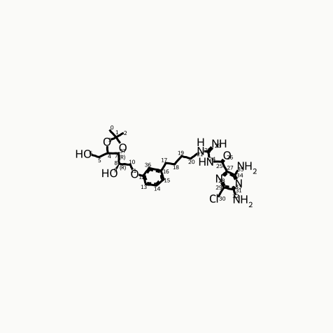 CC1(C)OC(CO)[C@@H]([C@H](O)COc2cccc(CCCCNC(=N)NC(=O)c3nc(Cl)c(N)nc3N)c2)O1